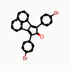 O=C1C(c2ccc(Br)cc2)=C2C(=C1c1ccc(Br)cc1)c1cccc3cccc2c13